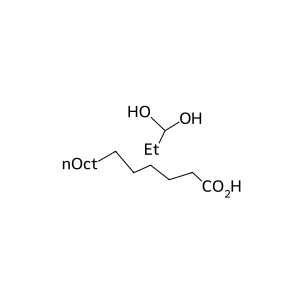 CCC(O)O.CCCCCCCCCCCCCC(=O)O